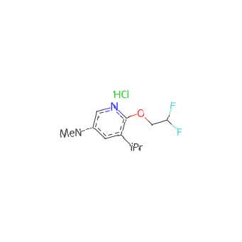 CNc1cnc(OCC(F)F)c(C(C)C)c1.Cl